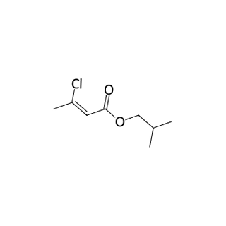 CC(Cl)=CC(=O)OCC(C)C